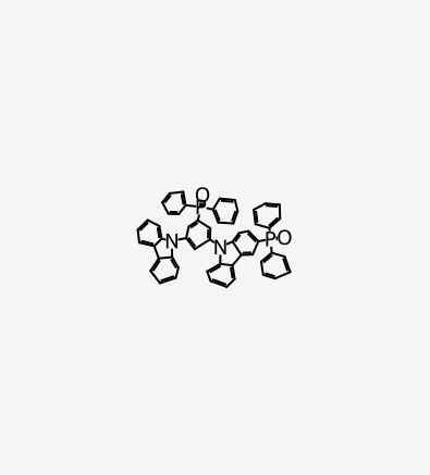 O=P(c1ccccc1)(c1ccccc1)c1cc(-n2c3ccccc3c3ccccc32)cc(-n2c3ccccc3c3cc(P(=O)(c4ccccc4)c4ccccc4)ccc32)c1